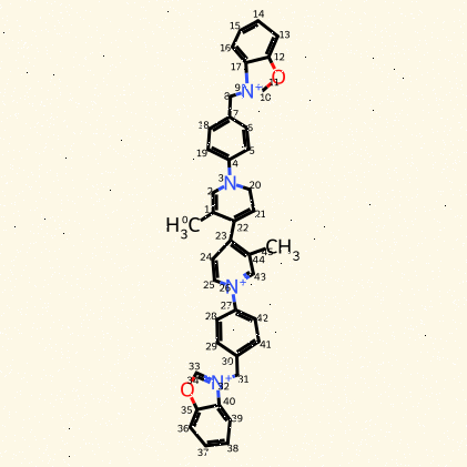 CC1=CN(c2ccc(C[n+]3coc4ccccc43)cc2)CC=C1c1cc[n+](-c2ccc(C[n+]3coc4ccccc43)cc2)cc1C